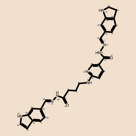 O=C(CCCNc1ccc(C(=O)N/N=C/c2ccc3c(c2)NCC3)cn1)N/N=C/c1ccc2cc[nH]c2c1